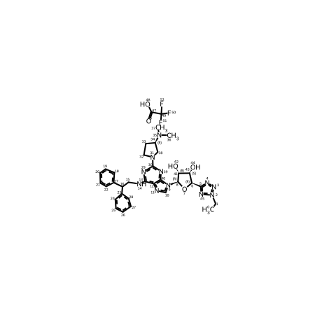 CCn1nnc([C@H]2O[C@@H](n3cnc4c(NCC(c5ccccc5)c5ccccc5)nc(N5CC[C@@H](N(C)C)C5)nc43)[C@H](O)[C@@H]2O)n1.O=C(O)C(F)(F)F